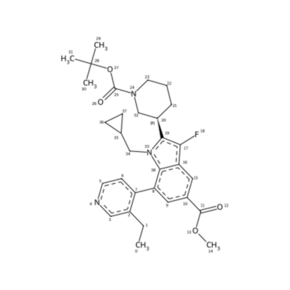 CCc1cnccc1-c1cc(C(=O)OC)cc2c(F)c([C@@H]3CCCN(C(=O)OC(C)(C)C)C3)n(CC3CC3)c12